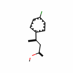 C=C(CC(=C)c1ccc(F)cc1)OCC